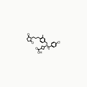 Cc1cc(CN(C2CC(C(=O)O)C2)[C@H](C)c2ccc(Cl)cc2)ccc1CCCN1C(=O)CCC1=O